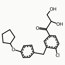 O=C(c1ccc(Cl)c(Cc2ccc(OC3CCCC3)cc2)c1)C(O)CO